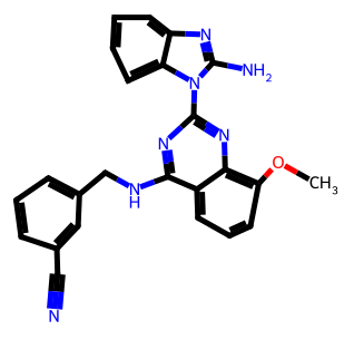 COc1cccc2c(NCc3cccc(C#N)c3)nc(-n3c(N)nc4ccccc43)nc12